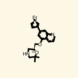 CCn1ccc(-c2cc(OC[C@@H]3CNCC(C)(C)O3)c3cccnc3c2)c1